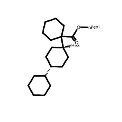 CCCCCC[C@]1(C2(C(=O)OCCCCC)CCCCC2)CC[C@@H](C2CCCCC2)CC1